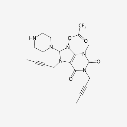 CC#CCN1c2c(n(C)c(=O)n(CC#CC)c2=O)N(OC(=O)C(F)(F)F)C1N1CCNCC1